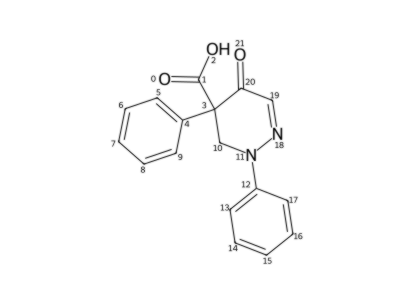 O=C(O)C1(c2ccccc2)CN(c2ccccc2)N=CC1=O